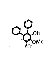 CCCc1[c]c(-c2ccccc2)c(-c2ccccc2)c(O)c1OC